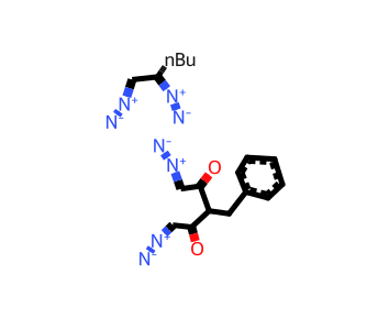 CCCCC(C=[N+]=[N-])=[N+]=[N-].[N-]=[N+]=CC(=O)C(Cc1ccccc1)C(=O)C=[N+]=[N-]